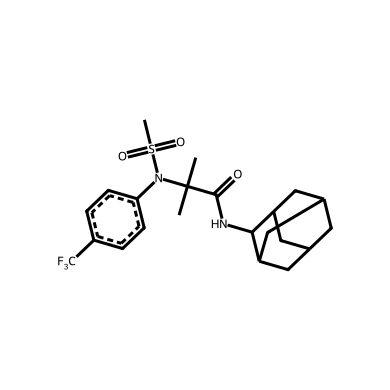 CC(C)(C(=O)NC1C2CC3CC(C2)CC1C3)N(c1ccc(C(F)(F)F)cc1)S(C)(=O)=O